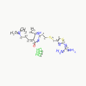 Cc1[nH]c(CCSCc2csc(N=C(N)N)n2)nc(=O)c1CCCN(C)C.Cl.Cl.Cl